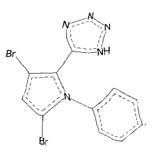 Brc1cc(Br)n(-c2cc[c]cc2)c1-c1nnn[nH]1